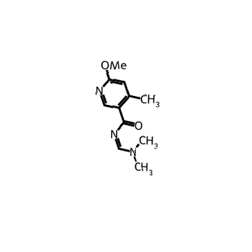 COc1cc(C)c(C(=O)/N=C\N(C)C)cn1